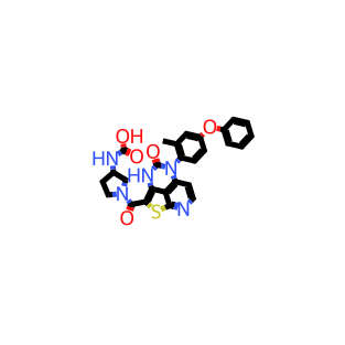 Cc1cc(Oc2ccccc2)ccc1N1C(=O)Nc2c(C(=O)N3CCC(NC(=O)O)C3)sc3nccc1c23